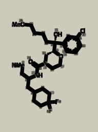 CNCC(CC1CCC(F)(F)CC1)NC(=O)N1CCO[C@@H]([C@@](O)(CCCCOC)c2cccc(Cl)c2)C1